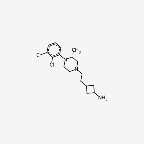 C[C@@H]1CN(CCC2CC(N)C2)CCN1c1cccc(Cl)c1Cl